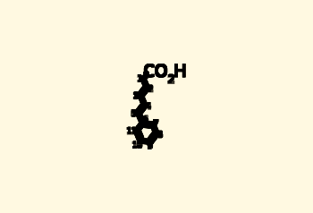 O=C(O)CC=CC=Cc1ccccc1